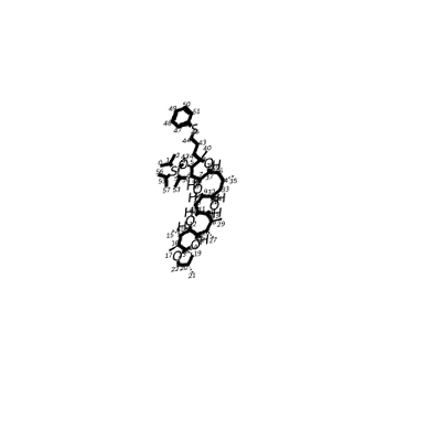 CC(C)[Si](O[C@@H]1C[C@@H]2O[C@@H]3C[C@@H]4O[C@@H]5[C@@H](C)[C@H](C)[C@@]6(C[C@H](C)CO6)O[C@H]5[C@@H](C)[C@H](C)[C@H]4O[C@H]3C[C@@H](C)C[C@H]2O[C@@]1(C)[C@H](C)CCSc1ccccc1)(C(C)C)C(C)C